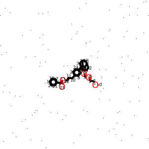 COCCOCOc1cc(CC=COC(=O)c2ccccc2)ccc1C12CC3CC(CC(C3)C1)C2